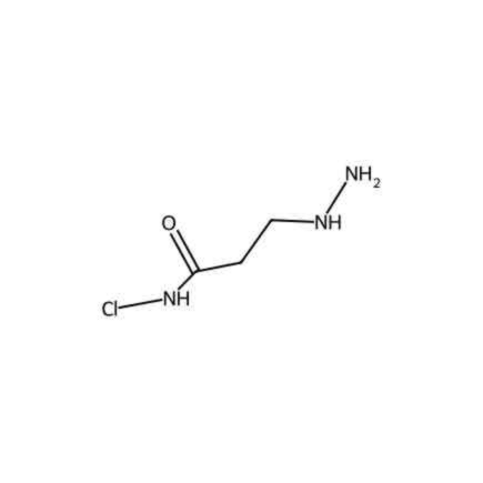 NNCCC(=O)NCl